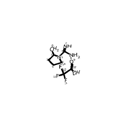 CC1CCCN1C(=N)N.O=C(O)C(F)(F)F